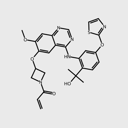 C=CC(=O)N1CC(Oc2cc3c(Nc4cc(Oc5nccs5)ccc4C(C)(C)O)ncnc3cc2OC)C1